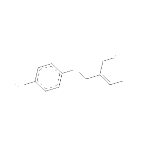 Cl.N#Cc1ccc(OC/C(=C/F)CN)cc1